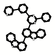 c1ccc(-c2nc(-c3cccc(-c4cccnc4)c3)cc(-c3ccc(-c4cccc5sc6ccccc6c45)c4oc5ccccc5c34)n2)cc1